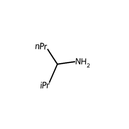 CCCC(N)C(C)C